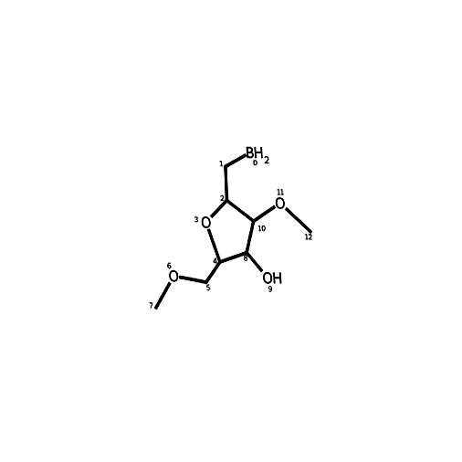 BCC1OC(COC)C(O)C1OC